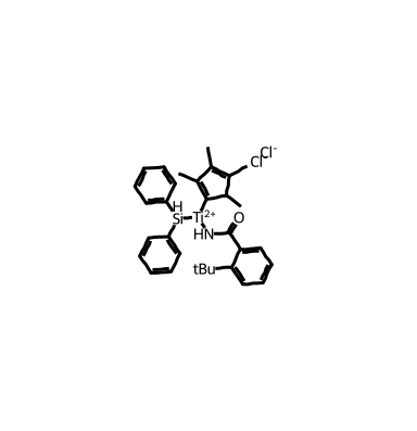 CC1=C(C)C(C)[C]([Ti+2]([NH]C(=O)c2ccccc2C(C)(C)C)[SiH](c2ccccc2)c2ccccc2)=C1C.[Cl-].[Cl-]